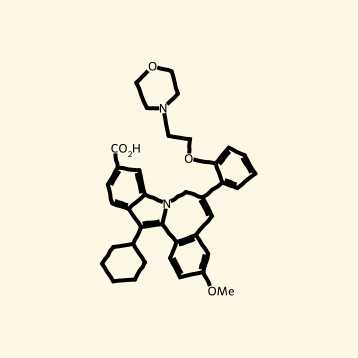 COc1ccc2c(c1)C=C(c1ccccc1OCCN1CCOCC1)Cn1c-2c(C2CCCCC2)c2ccc(C(=O)O)cc21